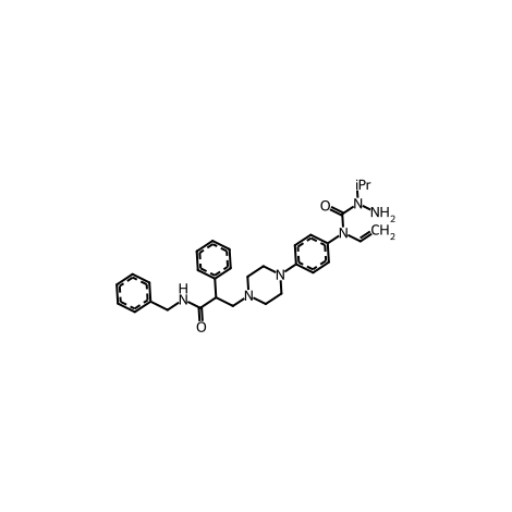 C=CN(C(=O)N(N)C(C)C)c1ccc(N2CCN(CC(C(=O)NCc3ccccc3)c3ccccc3)CC2)cc1